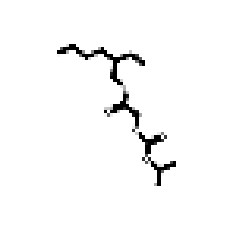 CCCCC(CC)COC(=O)CSC(=S)OC(C)C